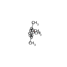 CCCCCCOC(=O)Oc1c2ccccc2c(OC(=O)OCCCCCC)c2cc(C)c(C)cc12